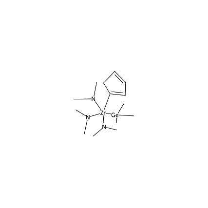 C[N](C)[Zr]([C]1=CC=CC1)([N](C)C)([N](C)C)[Ge]([CH3])([CH3])[CH3]